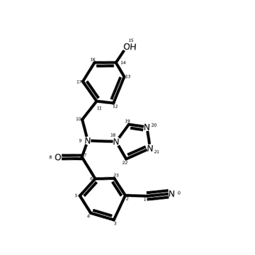 N#Cc1cccc(C(=O)N(Cc2ccc(O)cc2)n2cnnc2)c1